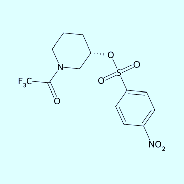 O=C(N1CCC[C@H](OS(=O)(=O)c2ccc([N+](=O)[O-])cc2)C1)C(F)(F)F